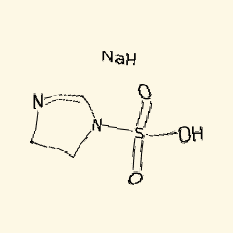 O=S(=O)(O)N1C=NCC1.[NaH]